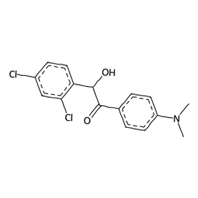 CN(C)c1ccc(C(=O)C(O)c2ccc(Cl)cc2Cl)cc1